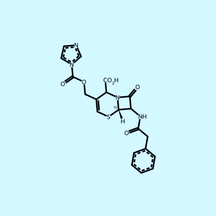 O=C(Cc1ccccc1)NC1C(=O)N2C(C(=O)O)C(COC(=O)n3ccnc3)=CS[C@@H]12